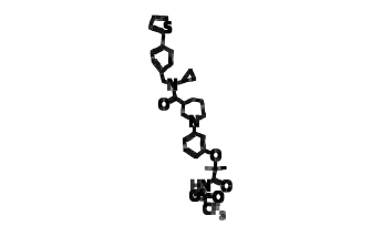 CC(C)(Oc1cccc(N2CCCC(C(=O)N(Cc3ccc(-c4cccs4)cc3)C3CC3)C2)c1)C(=O)NS(=O)(=O)C(F)(F)F